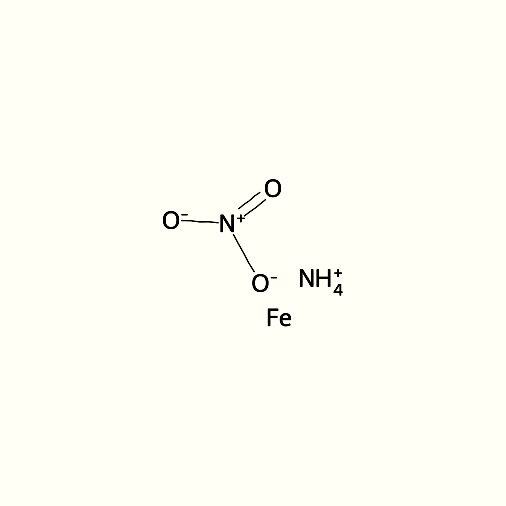 O=[N+]([O-])[O-].[Fe].[NH4+]